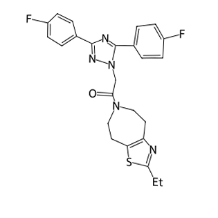 CCc1nc2c(s1)CCN(C(=O)Cn1nc(-c3ccc(F)cc3)nc1-c1ccc(F)cc1)CC2